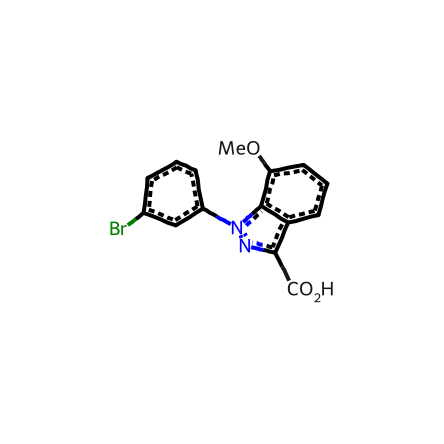 COc1cccc2c(C(=O)O)nn(-c3cccc(Br)c3)c12